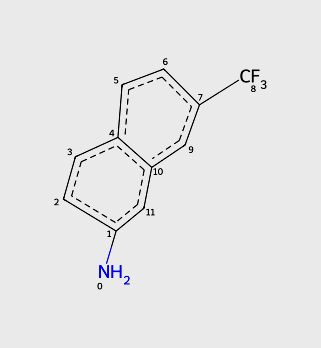 Nc1ccc2ccc(C(F)(F)F)cc2c1